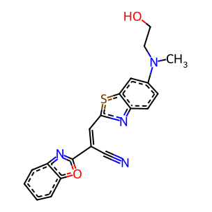 CN(CCO)c1ccc2nc(/C=C(\C#N)c3nc4ccccc4o3)sc2c1